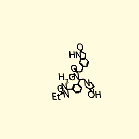 CCc1nc(-c2cccc(C(CN3CC[C@H](O)C3)N(C)C(=O)Cc3ccc4c(c3)NC(=O)C4)c2)no1